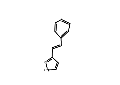 [c]1ccc(C=Cc2cc[nH]n2)cc1